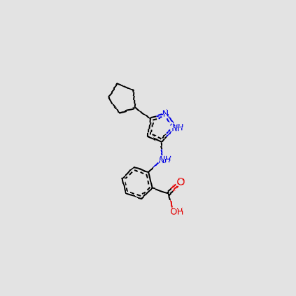 O=C(O)c1ccccc1Nc1cc(C2CCCC2)n[nH]1